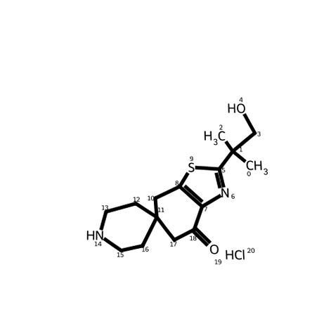 CC(C)(CO)c1nc2c(s1)CC1(CCNCC1)CC2=O.Cl